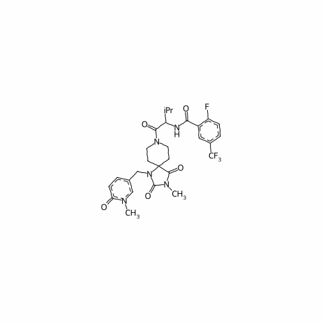 CC(C)C(NC(=O)c1cc(C(F)(F)F)ccc1F)C(=O)N1CCC2(CC1)C(=O)N(C)C(=O)N2Cc1ccc(=O)n(C)c1